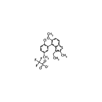 CC[n+]1c(C)sc2ccc(OC)c(-c3cc(C)ccc3Cl)c21.O=S(=O)([O-])C(F)(F)F